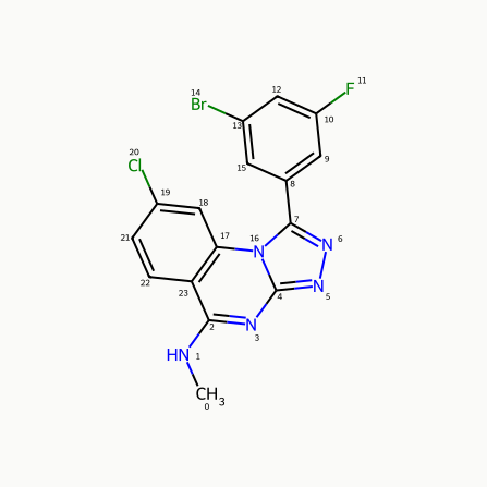 CNc1nc2nnc(-c3cc(F)cc(Br)c3)n2c2cc(Cl)ccc12